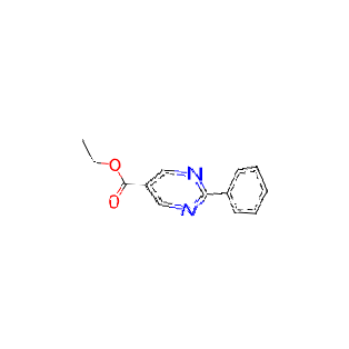 CCOC(=O)c1cnc(-c2ccccc2)nc1